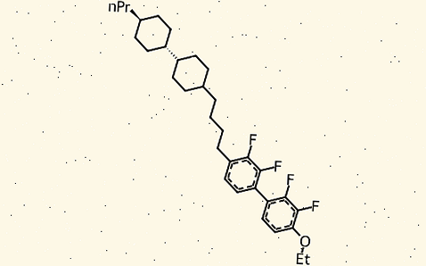 CCC[C@H]1CC[C@H](C2CCC(CCCCc3ccc(-c4ccc(OCC)c(F)c4F)c(F)c3F)CC2)CC1